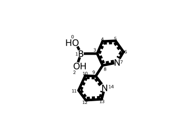 OB(O)c1cccnc1-c1ccccn1